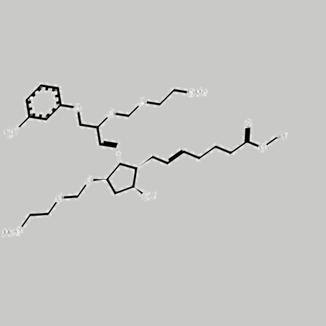 COCCOCOC(C=C[C@@H]1[C@@H](CC=CCCCC(=O)OC(C)C)[C@@H](O)C[C@H]1OCOCCOC)COc1cccc(C(F)(F)F)c1